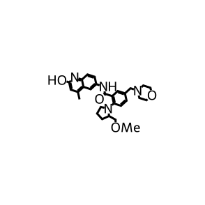 COCC1CCCN1c1ccc(CN2CCOCC2)cc1C(=O)Nc1ccc2nc(O)cc(C)c2c1